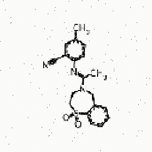 CC(=Nc1ccc(C)cc1C#N)N1CCS(=O)(=O)c2ccccc2C1